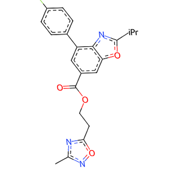 Cc1noc(CCOC(=O)c2cc(-c3ccc(F)cc3)c3nc(C(C)C)oc3c2)n1